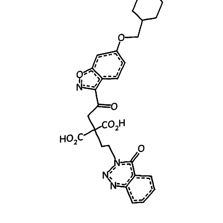 O=C(CC(CCn1nnc2ccccc2c1=O)(C(=O)O)C(=O)O)c1noc2cc(OCC3CCOCC3)ccc12